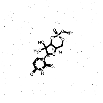 CC(C)OP1(=O)OC[C@H]2O[C@@H](n3ccc(=O)[nH]c3=S)C(C)(O)C2O1